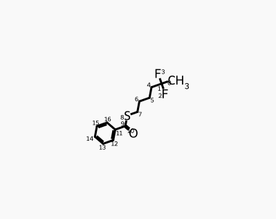 CC(F)(F)CCCCSC(=O)c1ccccc1